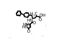 CC(CC(Cc1ccc(-c2ccccc2)cc1)NC(=O)c1cc(=O)[nH][nH]1)C(=O)O